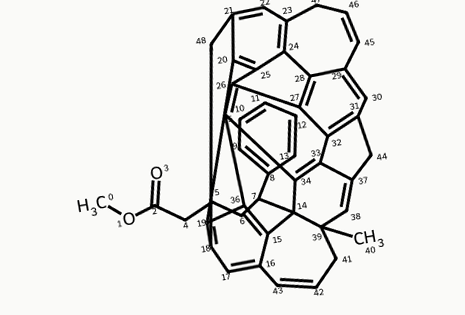 COC(=O)CCCC(c1ccccc1)C12c3c4cc5c6c7c(cc8c9c7c7c%10c-9c(cc9c%10c(c1c7c36)C(=CC2(C)CC=C4)C9)C=CC8)C5